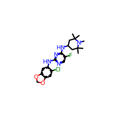 CN1C(C)(C)CC(Nc2nc(Nc3cc4c(cc3Cl)OCO4)ncc2F)CC1(C)C